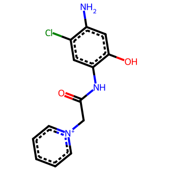 Nc1cc(O)c(NC(=O)C[n+]2ccccc2)cc1Cl